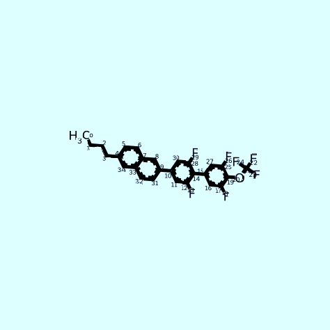 CCCCc1ccc2cc(-c3cc(F)c(-c4cc(F)c(OC(F)(F)F)c(F)c4)c(F)c3)ccc2c1